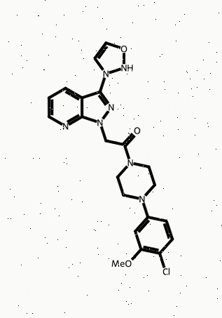 COc1cc(N2CCN(C(=O)Cn3nc(N4C=CON4)c4cccnc43)CC2)ccc1Cl